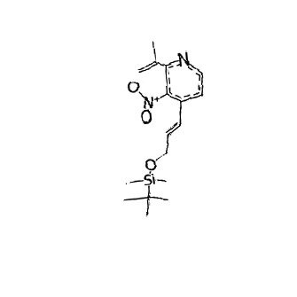 C=C(C)c1nccc(/C=C/CO[Si](C)(C)C(C)(C)C)c1[N+](=O)[O-]